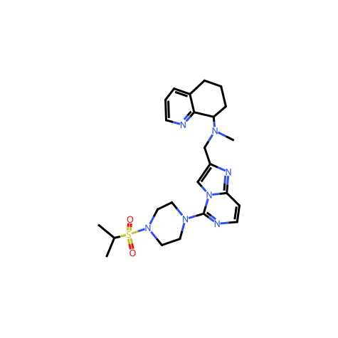 CC(C)S(=O)(=O)N1CCN(c2nccc3nc(CN(C)C4CCCc5cccnc54)cn23)CC1